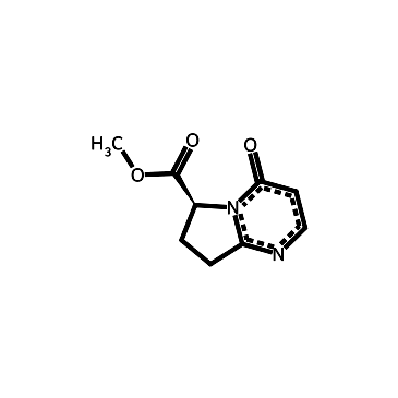 COC(=O)[C@@H]1CCc2nccc(=O)n21